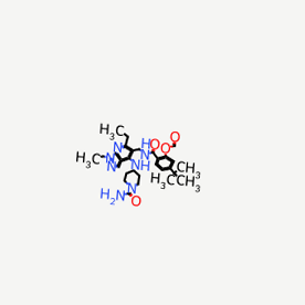 CCc1nc2c(cnn2CC)c(NC2CCN(C(N)=O)CC2)c1CNC(=O)c1ccc(C(C)(C)C)cc1OC=O